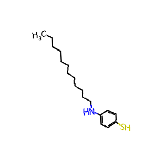 CCCCCCCCCCCCNc1ccc(S)cc1